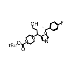 C[C@H](c1ccc(F)cc1)n1cncc1C(CCO)N1CCN(C(=O)OC(C)(C)C)CC1